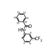 O=C(Nc1cccc(C(F)(F)F)c1)c1ccccc1